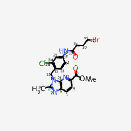 COC(=O)c1ccc2nc(C)n(Cc3ccc(NC(=O)CCCBr)cc3Cl)c2n1